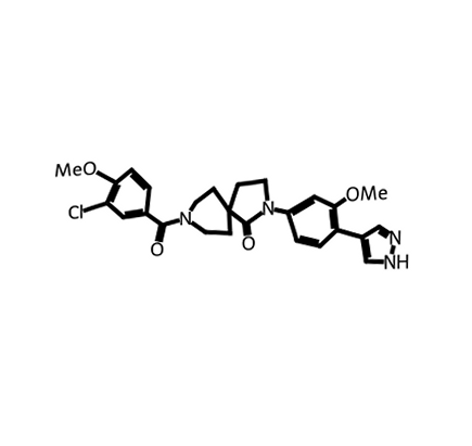 COc1ccc(C(=O)N2CCC3(CC2)CCN(c2ccc(-c4cn[nH]c4)c(OC)c2)C3=O)cc1Cl